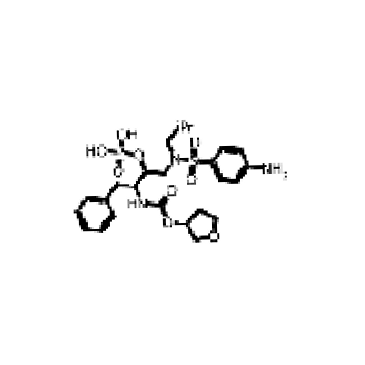 CC(C)CN(CC(OP(=O)(O)O)[C@H](Cc1ccccc1)NC(=O)O[C@H]1CCOC1)S(=O)(=O)c1ccc(N)cc1